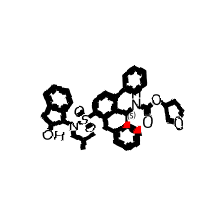 CCC[C@H](NC(=O)OC1CCOC1)c1c(-c2ccccc2)ccc(S(=O)(=O)N(CC(C)C)C2c3ccccc3CC2O)c1Cc1ccccc1